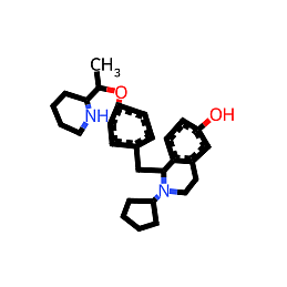 CC(Oc1ccc(CC2c3ccc(O)cc3CCN2C2CCCC2)cc1)C1CCCCN1